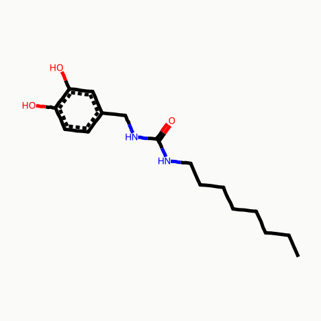 CCCCCCCCNC(=O)NCc1ccc(O)c(O)c1